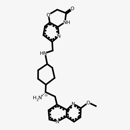 COc1ccc2nccc(C[C@H](N)C3CCC(NCc4ccc5c(n4)NC(=O)CO5)CC3)c2n1